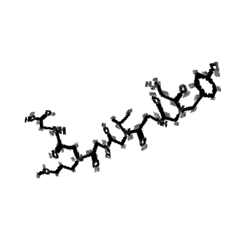 COCCCN(CC(=O)NCC(=O)O)C(=O)CNC(=O)CN(C(=O)CNC(=O)CN(Cc1ccc(Cl)cc1)C(=O)CN)C(C)C